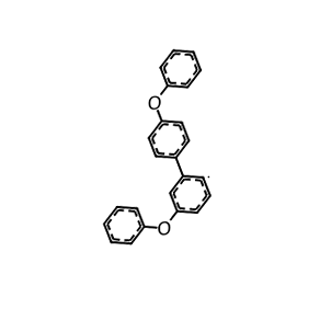 [c]1ccc(Oc2ccccc2)cc1-c1ccc(Oc2ccccc2)cc1